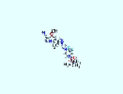 COc1cc(-c2cnn(C3CN(C4CCN(C(=O)OC(C)(C)C)CC4(F)F)C3)c2C)cn2ncc(C#N)c12